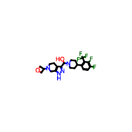 OC(c1n[nH]c2c1CCN(C1COC1)C2)N1CCC(c2ccc(F)c(F)c2C(F)(F)F)CC1